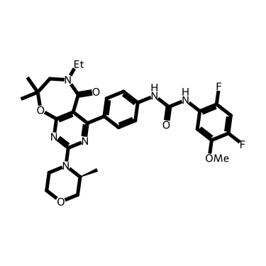 CCN1CC(C)(C)Oc2nc(N3CCOC[C@@H]3C)nc(-c3ccc(NC(=O)Nc4cc(OC)c(F)cc4F)cc3)c2C1=O